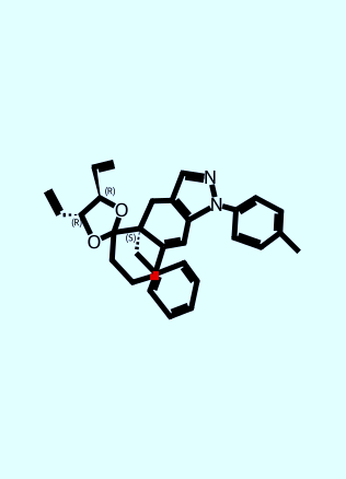 C=C[C@H]1OC2(CCCC3=Cc4c(cnn4-c4ccc(C)cc4)C[C@@]32Cc2ccccc2)O[C@@H]1C=C